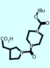 CC(C)(C)OC(=O)N1CCN(C(=O)N2CCC(CC(=O)O)C2)CC1